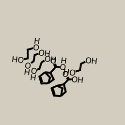 O=C(O)C1CC2C=CC1C2.O=C(O)C1CC2C=CC1C2.OCCO.OCCO.OCCO.OCCO